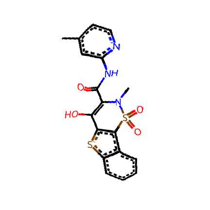 Cc1ccnc(NC(=O)C2=C(O)c3sc4ccccc4c3S(=O)(=O)N2C)c1